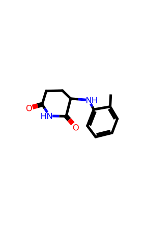 Cc1ccccc1NC1CCC(=O)NC1=O